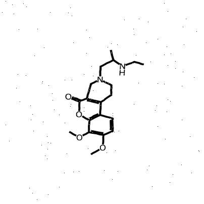 CCNC(C)CN1CCc2c(c(=O)oc3c(OC)c(OC)ccc23)C1